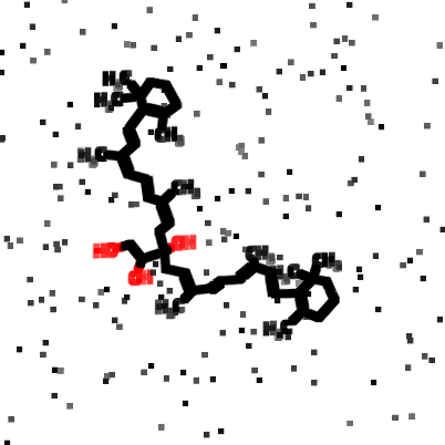 CC(C=CC1=C(C)CCCC1(C)C)=CC=CC(C)=CCC(O)(CC=C(C)C=CC=C(C)C=CC1=C(C)CCCC1(C)C)C(O)CO